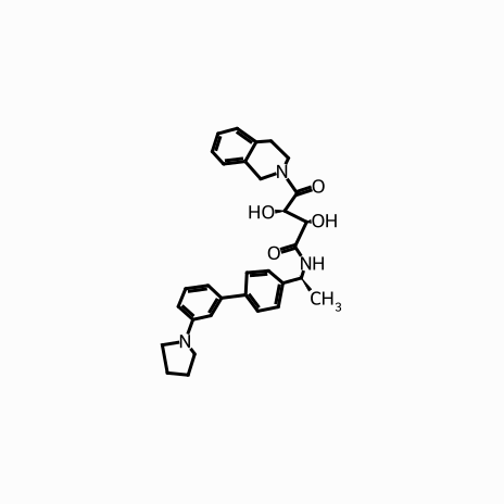 C[C@H](NC(=O)[C@H](O)[C@@H](O)C(=O)N1CCc2ccccc2C1)c1ccc(-c2cccc(N3CCCC3)c2)cc1